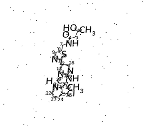 CC(O)CC(=O)NCc1cnc(-c2cnc(NC(C)(C)c3ncccc3Cl)nc2)s1